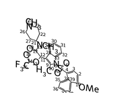 COc1ccc(S(=O)(=O)n2c(C)c(C(OC(=O)C(F)(F)F)C(=O)N(C)C3CCN(C)CC3)c3ccccc32)c2ccccc12